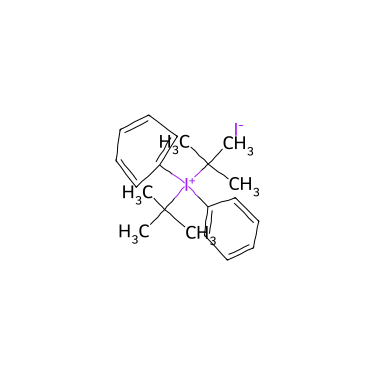 CC(C)(C)[I+](c1ccccc1)(c1ccccc1)C(C)(C)C.[I-]